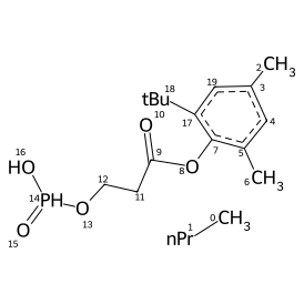 CCCC.Cc1cc(C)c(OC(=O)CCO[PH](=O)O)c(C(C)(C)C)c1